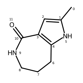 Cc1cc2c([nH]1)CCCNC2=O